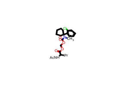 CC(=O)NC(C(=O)OCOC(=O)N(C)[C@@]1(c2ccccc2Cl)CCCCC1=O)C(C)C